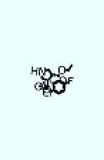 CCOC(=O)[C@@H]1CNC[C@]1(c1cc(F)ccc1Cl)[N+](=O)[O-]